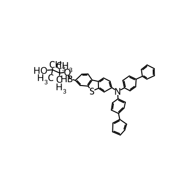 CC(C)(O)C(C)(C)OBc1ccc2c(c1)sc1cc(N(c3ccc(-c4ccccc4)cc3)c3ccc(-c4ccccc4)cc3)ccc12